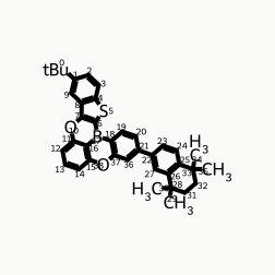 CC(C)(C)c1ccc2sc3c(c2c1)Oc1cccc2c1B3c1ccc(-c3ccc4c(c3)C(C)(C)CCC4(C)C)cc1O2